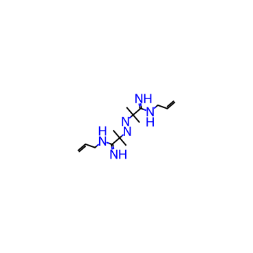 C=CCNC(=N)C(C)(C)N=NC(C)(C)C(=N)NCC=C